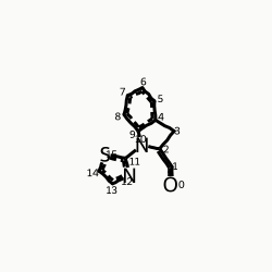 O=C=C1Cc2ccccc2N1c1nccs1